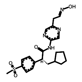 CS(=O)(=O)c1ccc([C@@H](CC2CCCC2)C(=O)Nc2cnc(CC=NO)cn2)cc1